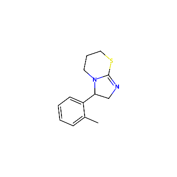 Cc1ccccc1C1CN=C2SCCCN21